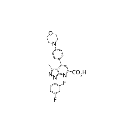 Cc1nn(-c2ccc(F)cc2F)c2nc(C(=O)O)cc(-c3ccc(N4CCOCC4)cc3)c12